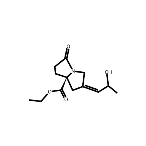 CCOC(=O)[C@@]12CCC(=O)N1C/C(=C\C(C)O)C2